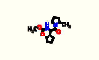 COC(=O)NC(C(=O)N1CCC[C@H]1C)C1CCCC1